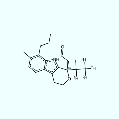 [2H]C([2H])([2H])C([2H])(C)[C@]1(CC=O)OCCc2c1[nH]c1c(CCC)c(C)ccc21